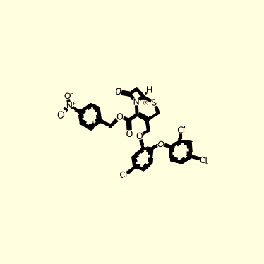 O=C(OCc1ccc([N+](=O)[O-])cc1)C1=C(COc2cc(Cl)ccc2Oc2ccc(Cl)cc2Cl)CS[C@@H]2CC(=O)N12